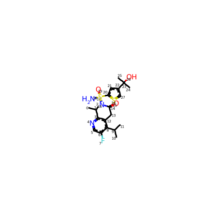 CC(C)c1ncc(F)c(C(C)C)c1CC(=O)N=S(N)(=O)c1cc(C(C)(C)O)cs1